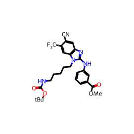 COC(=O)c1cccc(Nc2nc3cc(C#N)c(C(F)(F)F)cc3n2CCCCCNC(=O)OC(C)(C)C)c1